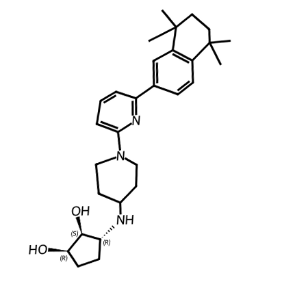 CC1(C)CCC(C)(C)c2cc(-c3cccc(N4CCC(N[C@@H]5CC[C@@H](O)[C@H]5O)CC4)n3)ccc21